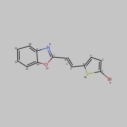 Brc1ccc(/C=C/c2nc3ccccc3o2)s1